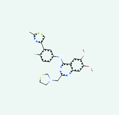 CCOc1cc2nc(CN3CCSC3)nc(Nc3ccc(F)c(-c4csc(C)n4)c3)c2cc1OCC